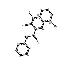 Cn1c(=O)c(C(=O)Nc2ccccc2)cc2c(Br)cccc21